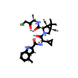 Cc1cccc2[nH]c(C(=O)N[C@H](C(=O)N3C[C@H]4[C@@H]([C@H]3C(=O)N[C@@H](C)C(=O)CCl)C4(C)C)C3CC3)cc12